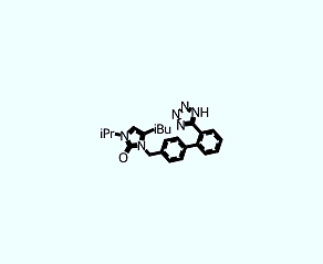 CCC(C)c1cn(C(C)C)c(=O)n1Cc1ccc(-c2ccccc2-c2nnn[nH]2)cc1